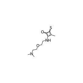 Cc1c(NCCOCCN(C)C)c(=O)c1=S